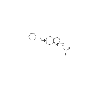 FC(F)COc1ccc2c(n1)CCN(CCC1CCCCC1)CC2